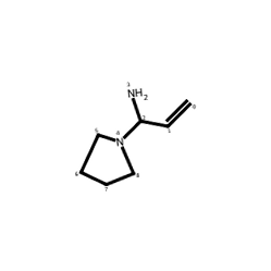 C=CC(N)N1CCCC1